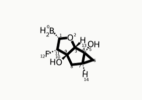 B[C@@H]1O[C@@H]2[C@@]3(O)C[C@H]3C[C@]2(O)[C@@H]1F